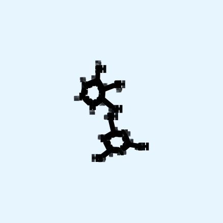 Sc1nc(S)nc(S)n1.Sc1nnnc(S)c1S